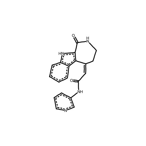 O=C(/C=C1/CCNC(=O)c2[nH]c3ccccc3c21)Nc1cccnc1